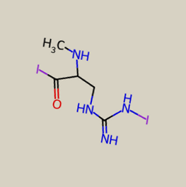 CNC(CNC(=N)NI)C(=O)I